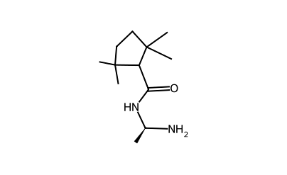 C[C@H](N)NC(=O)C1C(C)(C)CCC1(C)C